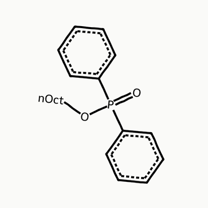 CCCCCCCCOP(=O)(c1ccccc1)c1ccccc1